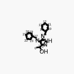 CC(O)c1n[nH]c(N=Cc2ccccc2)c1N=Cc1ccccc1